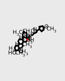 COc1ccc(-c2cc(CNC(=O)[C@]34CCC(C)(C)C[C@H]3C3=CC[C@@H]5[C@@]6(C)CC[C@H](O)C(C)(C)[C@@H]6CC[C@@]5(C)[C@]3(C)C[C@H]4O)on2)cc1